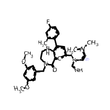 COc1cc(CN2CCNc3c(cc(CN(C=N)/C=C\N(C)C)cc3-c3ccc(F)cc3C)C2=O)cc(OC)c1